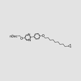 CCCCCCCCCCCOc1cnc(-c2ccc(OCCCCCCCCCC3CC3)cc2)nc1